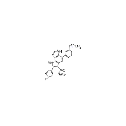 C/C=C\c1cccc(-c2cc3c(C(=O)NC)c(-c4ccc(F)cc4)[nH]c3c3cc[nH]c23)c1